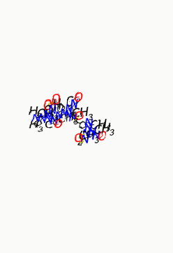 Cc1nc2cc(C3CC3S(C)(=O)=Nc3cc(N4CCOC[C@H]4C)nc(-n4c(C)nc5cc(C6OCC6S(C)(=O)=Nc6cc(N7CCOC[C@H]7C)nc(-n7c(C)nc8ccccc87)n6)ccc54)n3)ccc2n1-c1nc(N=S(C)(=O)C2CC2)cc(N2CCOC[C@H]2C)n1